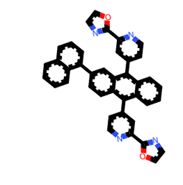 c1ccc2c(-c3ccc4c(-c5ccnc(-c6ncco6)c5)c5ccccc5c(-c5ccnc(-c6ncco6)c5)c4c3)cccc2c1